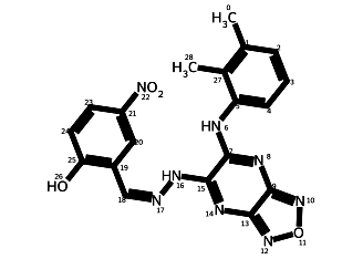 Cc1cccc(Nc2nc3nonc3nc2N/N=C\c2cc([N+](=O)[O-])ccc2O)c1C